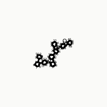 c1ccc(-c2ccccc2-c2ccc(-n3c4ccccc4c4cc(-c5ccc6c(c5)c5ccccc5n6-c5ccc6c(c5)oc5ccccc56)ccc43)cc2)cc1